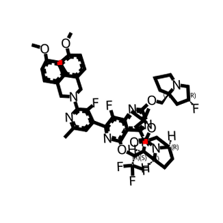 COc1ccc(CN(Cc2ccc(OC)cc2)c2nc(C)cc(-c3nc4c5c(nc(OC[C@@]67CCCN6C[C@H](F)C7)nc5c3F)N3C[C@H]5CC[C@@H]([C@H]3[C@H](C(F)(F)F)O4)N5C(=O)OC(C)(C)C)c2F)cc1